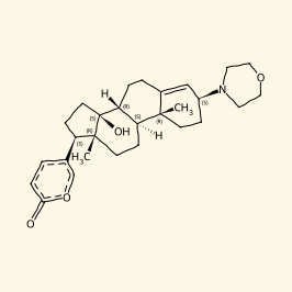 C[C@]12CC[C@H](N3CCOCC3)C=C1CC[C@@H]1[C@@H]2CC[C@]2(C)[C@@H](c3ccc(=O)oc3)CC[C@]12O